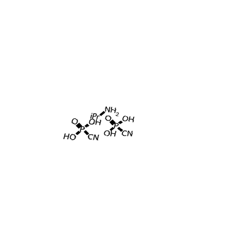 CC(C)N.N#CP(=O)(O)O.N#CP(=O)(O)O